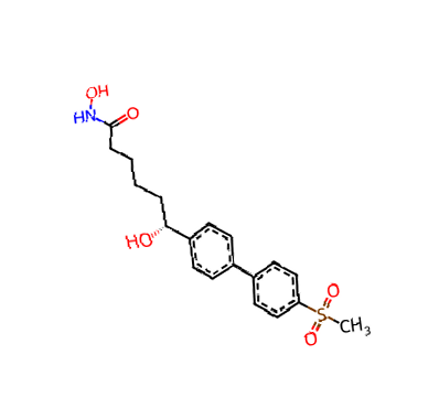 CS(=O)(=O)c1ccc(-c2ccc([C@H](O)CCCCC(=O)NO)cc2)cc1